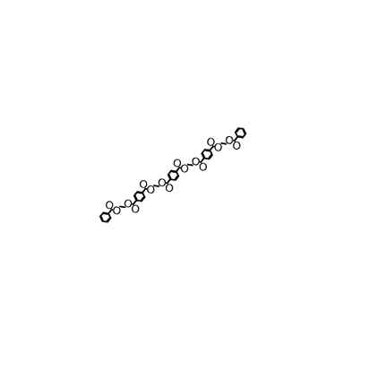 O=C(OCCOC(=O)c1ccc(C(=O)OCCOC(=O)c2ccc(C(=O)OCCOC(=O)c3ccc(C(=O)OCCOC(=O)c4ccccc4)cc3)cc2)cc1)c1ccccc1